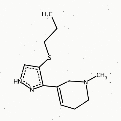 CCCSc1c[nH]nc1C1=CCCN(C)C1